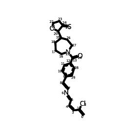 C=C(Cl)\C=C/C=N/C=C/c1ccc(C(=O)N2CCCC(C3OCCC3=S)CC2)cc1